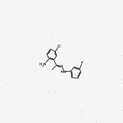 C/C(=N\Nc1cccc(F)c1)c1cc(Cl)ccc1N